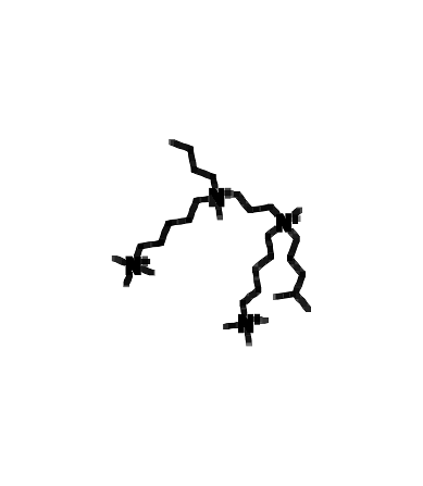 CCCC[N+](C)(CCCCC[N+](C)(C)C)CCC[N+](C)(CCCCC[N+](C)(C)C)CCCC(C)C